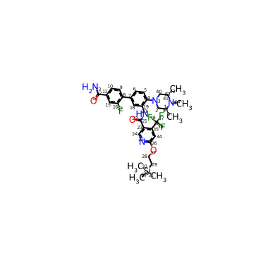 C[C@@H]1CN(c2ccc(-c3ccc(C(N)=O)cc3F)cc2NC(=O)c2cnc(OCC[Si](C)(C)C)cc2C(F)(F)F)C[C@H](C)N1C